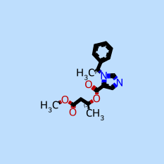 COC(=O)C[C@H](C)OC(=O)c1cncn1[C@H](C)c1ccccc1